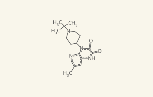 Cc1cnc2c(c1)[nH]c(=O)c(=O)n2C1CCN(C(C)(C)C)CC1